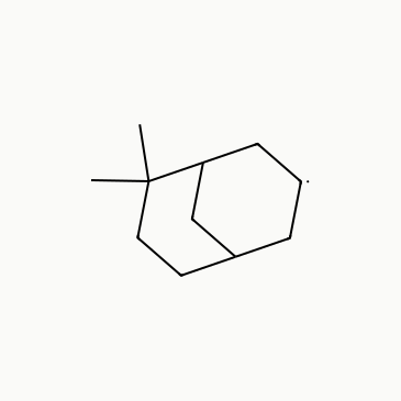 CC1(C)CCC2C[CH]CC1C2